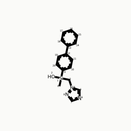 C[Si](O)(Cn1cncn1)c1ccc(-c2ccccc2)cc1